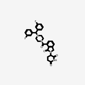 O=C1CCC(N2Cc3cccc(C(=O)N4CCN(C(c5cccc(F)c5)c5cccc(F)c5)CC4)c3C2=O)C(=O)N1